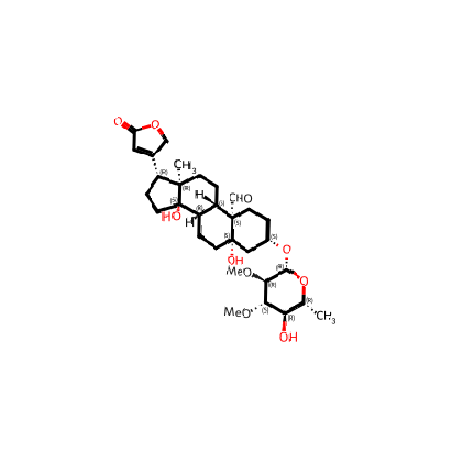 CO[C@H]1[C@H](O[C@H]2CC[C@]3(C=O)[C@H]4CC[C@]5(C)[C@@H](C6=CC(=O)OC6)CC[C@]5(O)[C@@H]4CC[C@]3(O)C2)O[C@H](C)[C@@H](O)[C@@H]1OC